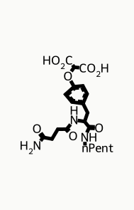 CCCCCNC(=O)C(Cc1ccc(OC(C(=O)O)C(=O)O)cc1)NC(=O)CCC(N)=O